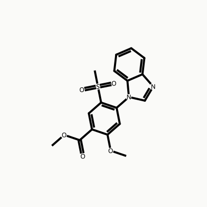 COC(=O)c1cc(S(C)(=O)=O)c(-n2cnc3ccccc32)cc1OC